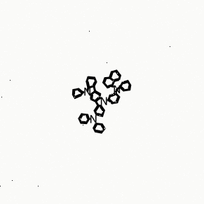 c1ccc(N(c2ccccc2)c2ccc3c(c2)c2cc4c(cc2n3-c2cccc(N(c3ccccc3)c3cccc5ccccc35)c2)c2ccccc2n4-c2ccccc2)cc1